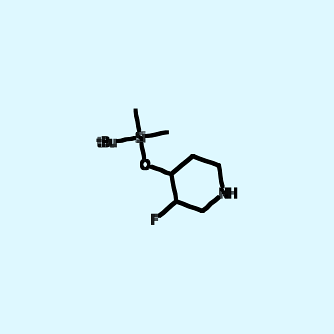 CC(C)(C)[Si](C)(C)OC1CCNCC1F